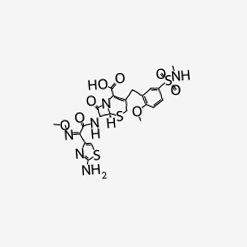 CNS(=O)(=O)c1ccc(OC)c(CC2=C(C(=O)O)N3C(=O)[C@@H](NC(=O)/C(=N\OC)c4csc(N)n4)[C@H]3SC2)c1